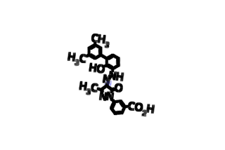 CC1=NN(c2cccc(C(=O)O)c2)C(=O)/C1=N\Nc1cccc(-c2cc(C)cc(C)c2)c1O